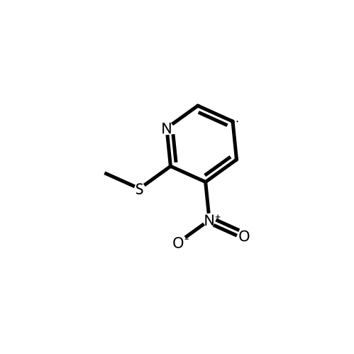 CSc1nc[c]cc1[N+](=O)[O-]